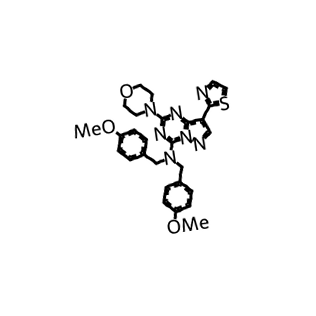 COc1ccc(CN(Cc2ccc(OC)cc2)c2nc(N3CCOCC3)nc3c(-c4nccs4)cnn23)cc1